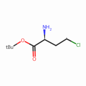 CC(C)(C)OC(=O)[C@@H](N)C[CH]Cl